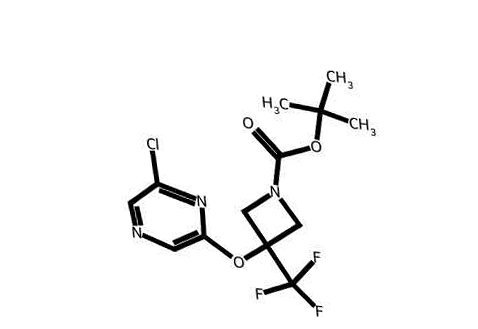 CC(C)(C)OC(=O)N1CC(Oc2cncc(Cl)n2)(C(F)(F)F)C1